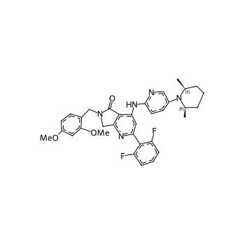 COc1ccc(CN2Cc3nc(-c4c(F)cccc4F)cc(Nc4ccc(N5[C@H](C)CCC[C@@H]5C)cn4)c3C2=O)c(OC)c1